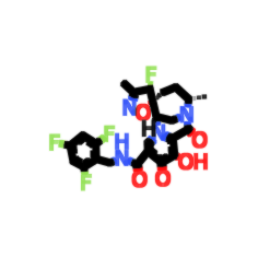 CC1=NO[C@@]2(CC[C@H](C)N3C[C@H]2n2cc(C(=O)NCc4c(F)cc(F)cc4F)c(=O)c(O)c2C3=O)[C@@H]1F